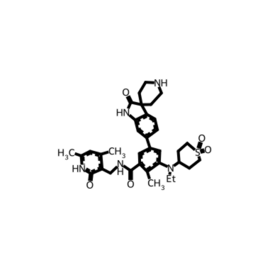 CCN(c1cc(-c2ccc3c(c2)NC(=O)C32CCNCC2)cc(C(=O)NCc2c(C)cc(C)[nH]c2=O)c1C)C1CCS(=O)(=O)CC1